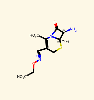 N[C@@H]1C(=O)N2C(C(=O)O)=C(/C=N/OCC(=O)O)CS[C@H]12